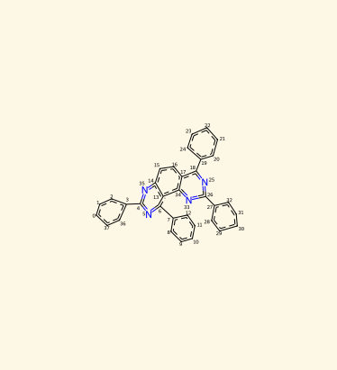 c1ccc(-c2nc(-c3ccccc3)c3c(ccc4c(-c5ccccc5)nc(-c5ccccc5)nc43)n2)cc1